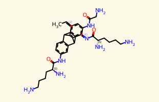 C/C=C\C1=C(/C=N/C(=O)[C@@H](N)CCCCN)C2c3cc(NC(=O)CN)ccc3C1c1ccc(NC(=O)[C@@H](N)CCCCN)cc12